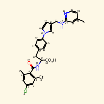 CCc1cc(Cl)cc(C)c1C(=O)NC(Cc1ccc(-n2ccc(CNc3cc(C)ccn3)c2)cc1)C(=O)O